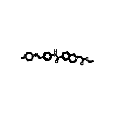 CCOC(=O)CN1CCc2cc(C(=O)Nc3ccc(C=NN4CCN(C)CC4)cc3)ccc2C1